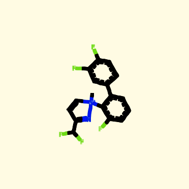 C[N+]1(c2c(F)cccc2-c2ccc(F)c(F)c2)C=[C]C(C(F)F)=N1